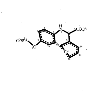 CCCCCOc1ccc(NC(C(=O)O)c2ccccc2)cc1